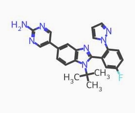 CC(C)(C)n1c(-c2cc(F)ccc2-n2cccn2)nc2cc(-c3cnc(N)nc3)ccc21